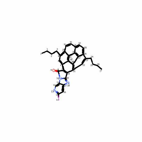 CCCCc1cc2c3c(=O)n4c5cnc(I)cc5nc4c3c3cc(CCCC)c4ccc5ccc1c1c5c4c3c21